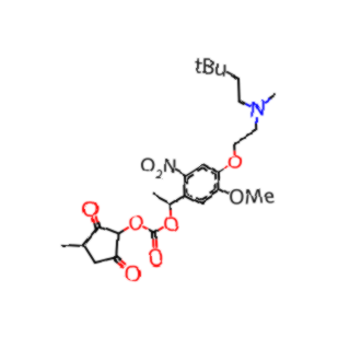 COc1cc(C(C)OC(=O)OC2C(=O)CC(C)C2=O)c([N+](=O)[O-])cc1OCCN(C)CCC(C)(C)C